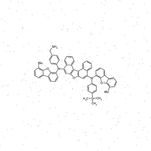 CC(C)(C)c1cccc2c1oc1c(N(c3ccc(C[SiH3])cc3)c3cc4oc5cc(N(c6ccc([Si](C)(C)C)cc6)c6cccc7c6oc6c(C(C)(C)C)cccc67)c6ccccc6c5c4c4ccccc34)cccc12